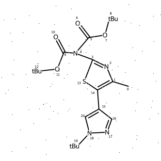 Cc1nc(N(C(=O)OC(C)(C)C)C(=O)OC(C)(C)C)sc1-c1cnn(C(C)(C)C)c1